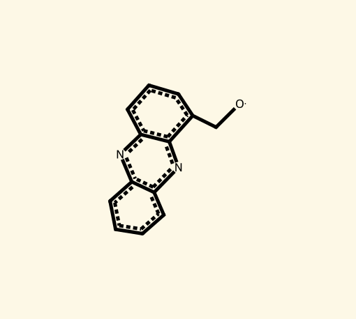 [O]Cc1cccc2nc3ccccc3nc12